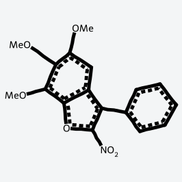 COc1cc2c(-c3ccccc3)c([N+](=O)[O-])oc2c(OC)c1OC